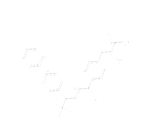 CC(C)(C)C(CNC(=O)c1ccc(CC(N)C(=O)O)cc1)c1ccc(-c2ccccc2)cc1